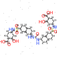 O=C(Nc1ccc2ccc(S(=O)(=O)Nc3ccc(C(=O)O)c(O)c3)cc2c1)Nc1ccc2ccc(S(=O)(=O)Nc3ccc(C(=O)O)c(O)c3)cc2c1